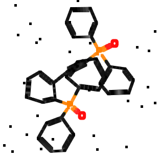 O=P(C#Cc1ccccc1P(=O)(c1ccccc1)c1ccccc1)(c1ccccc1)c1ccccc1